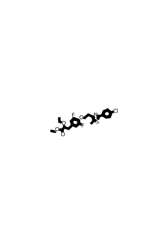 CCOC(=O)C(Cc1cc(F)c(OCCc2nc(-c3ccc(Cl)cc3)sc2C)c(F)c1)OCC